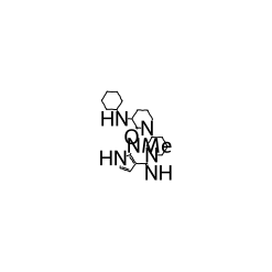 CNc1[nH]ccc1C(=N)N1CCC[C@@H](N2CCCC(NC3CCCCC3)C2=O)C1